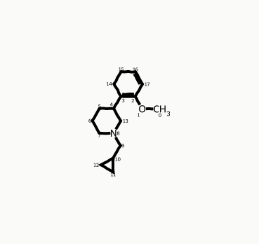 COC1=C(C2CCCN(CC3CC3)C2)[CH]CC=C1